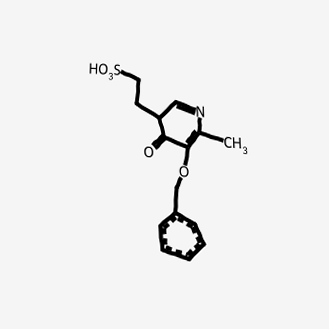 CC1=C(OCc2ccccc2)C(=O)C(CCS(=O)(=O)O)C=N1